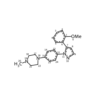 COc1ccccc1-c1ccnn1-c1ccc(N2CCN(C)CC2)cc1